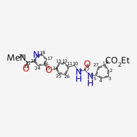 CCOC(=O)c1cccc(NC(=O)NCc2ccc(Oc3ccnc(C(=O)NC)c3)cc2)c1